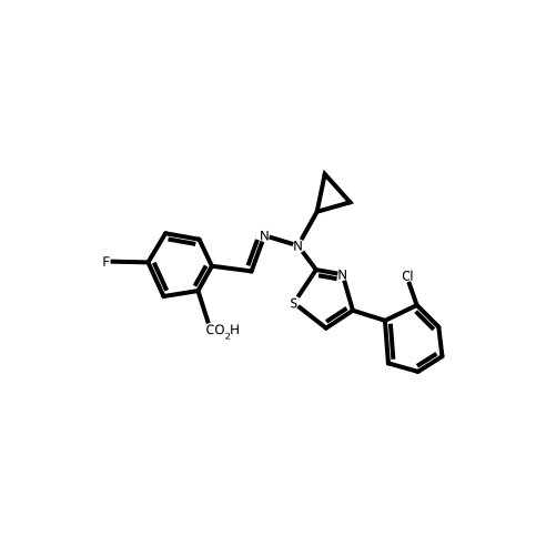 O=C(O)c1cc(F)ccc1/C=N/N(c1nc(-c2ccccc2Cl)cs1)C1CC1